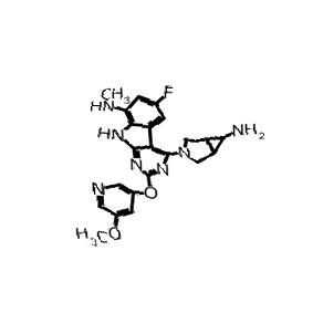 CNc1cc(F)cc2c1[nH]c1nc(Oc3cncc(OC)c3)nc(N3CC4C(N)C4C3)c12